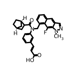 Cn1ncc2cc3cccc(CN(C(=O)C4C[C@H]5CC[C@@H]4C5)c4cccc(C=CC(=O)O)c4)c3c(F)c21